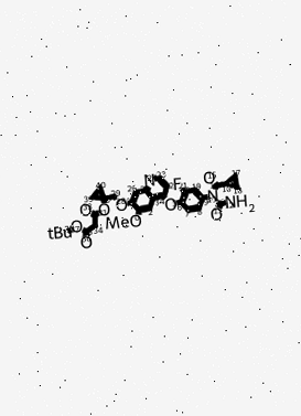 COc1cc2c(Oc3ccc(N(C(N)=O)C(=O)C4CC4)cc3F)ccnc2cc1OCC1(OC(=O)CC(=O)OC(C)(C)C)CC1